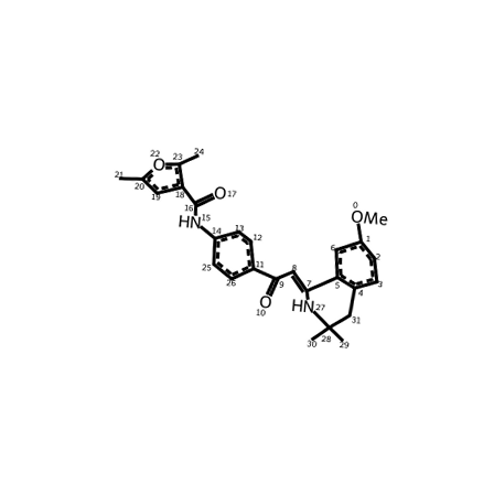 COc1ccc2c(c1)C(=CC(=O)c1ccc(NC(=O)c3cc(C)oc3C)cc1)NC(C)(C)C2